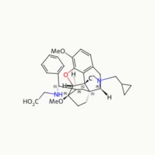 COc1ccc2c3c1O[C@H]1[C@@]4(OC)CC[C@@]5(C[C@@H]4[C@H](NCC(=O)O)c4ccccc4)[C@@H](C2)N(CC2CC2)CC[C@]315